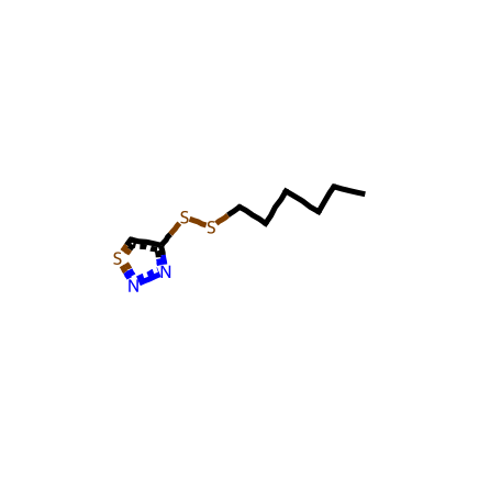 CCCCCCSSc1csnn1